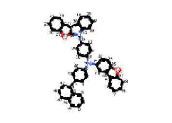 c1ccc2c(-c3ccc(N(c4ccc(-n5c6ccccc6c6c7ccccc7oc65)cc4)c4ccc5oc6ccccc6c5c4)cc3)cccc2c1